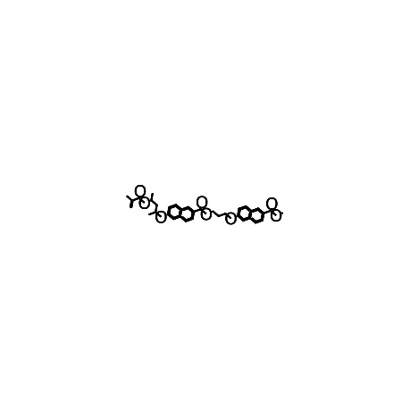 C=C(C)C(=O)OC(C)CC(C)Oc1ccc2cc(C(=O)OCCCOc3ccc4cc(C(=O)OC)ccc4c3)ccc2c1